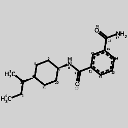 CCC(C)[C@H]1CC[C@@H](NC(=O)c2cccc(C(N)=O)c2)CC1